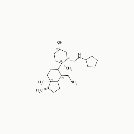 C=C1CCC2[C@H](CN)C([C@@]3(C)CC[C@H](O)C[C@@H]3CNC3CCCC3)CC[C@]12C